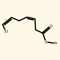 CC/C=C\C/C=C\CC(=O)OC(C)C